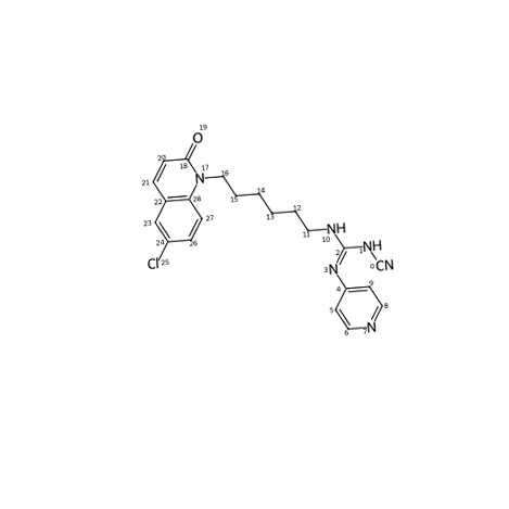 N#CNC(=Nc1ccncc1)NCCCCCCn1c(=O)ccc2cc(Cl)ccc21